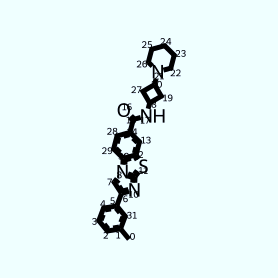 Cc1cccc(-c2cn3c(n2)sc2cc(C(=O)NC4CC(N5CCCCC5)C4)ccc23)c1